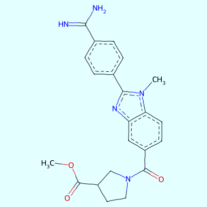 COC(=O)C1CCN(C(=O)c2ccc3c(c2)nc(-c2ccc(C(=N)N)cc2)n3C)C1